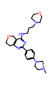 CN1CCN(c2ccc(-c3nc4c(c(NCCCN5CCOCC5)n3)COCC4)cc2)CC1